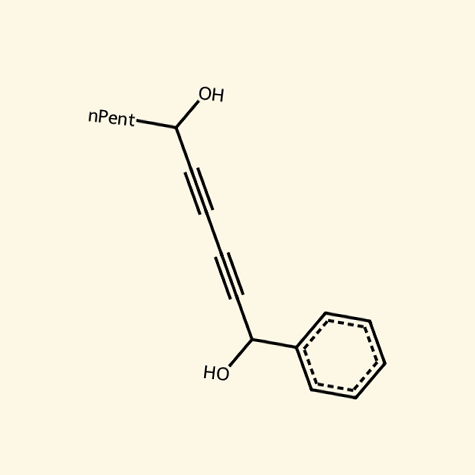 CCCCCC(O)C#CC#CC(O)c1ccccc1